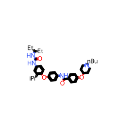 CCCCN1CCC(Oc2ccc(C(=O)Nc3ccc(Oc4ccc(NC(=O)NC(CC)CC)cc4C(C)C)cc3)cc2)CC1